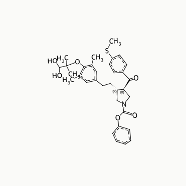 CSc1ccc(C(=O)[C@H]2CN(C(=O)Oc3ccccc3)C[C@@H]2CCc2cc(C)c(OC(C)(C)C(O)O)c(C)c2)cc1